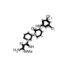 CN/C(N)=C(/F)C(=N)N1CCC[C@@H](N2CCC[C@@H](Nc3cc(Cl)cc(C(F)(F)F)c3)C2=O)C1